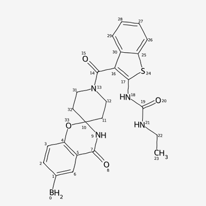 Bc1ccc2c(c1)C(=O)NC1(CCN(C(=O)c3c(NC(=O)NCC)sc4ccccc34)CC1)O2